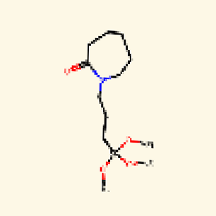 CCO[Si](CCCN1CCCCCC1=O)(OCC)OCC